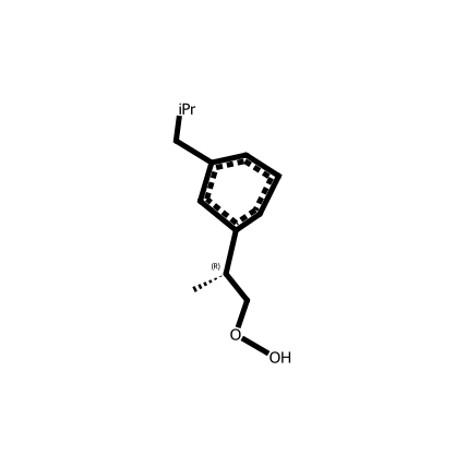 CC(C)Cc1cccc([C@@H](C)COO)c1